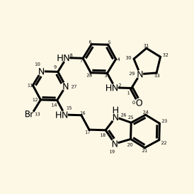 O=C(Nc1cccc(Nc2ncc(Br)c(NCCc3nc4ccccc4[nH]3)n2)c1)N1CCCC1